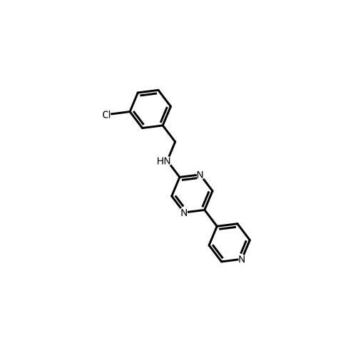 Clc1cccc(CNc2cnc(-c3ccncc3)cn2)c1